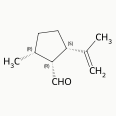 C=C(C)[C@H]1CC[C@@H](C)[C@H]1C=O